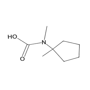 CN(C(=O)O)C1(C)CCCC1